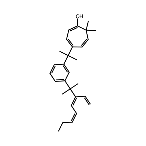 C=C/C(=C\C=C/CC)C(C)(C)c1cccc(C(C)(C)C2=CC=C(O)C(C)(C)C=C2)c1